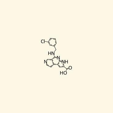 O=C(O)c1cc2c(nc(NCc3cccc(Cl)c3)c3cnccc32)[nH]1